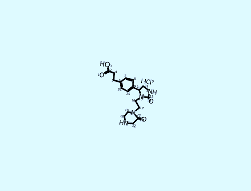 Cl.O=C(O)CCc1ccc(C2CNC(=O)N2CCN2CCNCC2=O)cc1